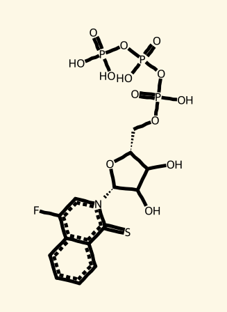 O=P(O)(O)OP(=O)(O)OP(=O)(O)OC[C@H]1O[C@@H](n2cc(F)c3ccccc3c2=S)C(O)C1O